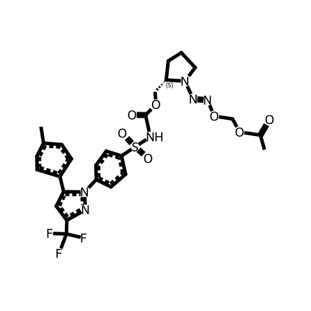 CC(=O)OCON=NN1CCC[C@H]1COC(=O)NS(=O)(=O)c1ccc(-n2nc(C(F)(F)F)cc2-c2ccc(C)cc2)cc1